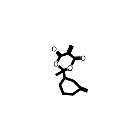 C=C1CCCC(C2(C)OC(=O)C(=C)C(=O)O2)C1